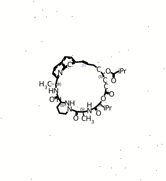 CC(C)C(=O)O[C@H]1CC/C=C/c2ccc3ccc(nc3c2)[C@@H](C)NC(=O)[C@@H]2CCCN(N2)C(=O)[C@H](C)NC(=O)[C@H](C(C)C)OC(=O)CC1